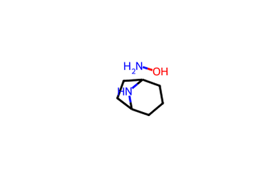 C1CC2CCC(C1)N2.NO